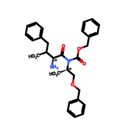 N[C@H](C(=O)N(C(=O)OCc1ccccc1)[C@H](COCc1ccccc1)C(=O)O)C(Cc1ccccc1)C(=O)O